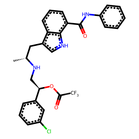 C[C@H](Cc1c[nH]c2c(C(=O)Nc3ccccc3)cccc12)NC[C@@H](OC(=O)C(F)(F)F)c1cccc(Cl)c1